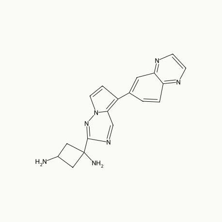 NC1CC(N)(c2ncc3c(-c4ccc5nccnc5c4)ccn3n2)C1